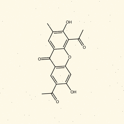 CC(=O)c1cc2c(=O)c3cc(C)c(O)c(C(C)=O)c3oc2cc1O